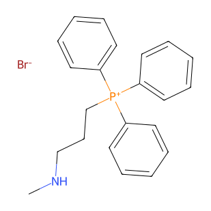 CNCCC[P+](c1ccccc1)(c1ccccc1)c1ccccc1.[Br-]